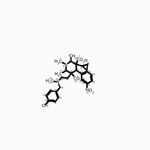 CC1N(C)C(C)C(C(=O)O)(C2CC2)C(c2cccc([N+](=O)[O-])c2)C1(CCN(C)Cc1ccc(Cl)cc1)C(=O)O